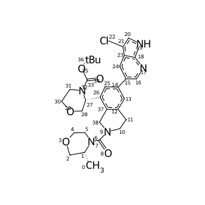 C[C@@H]1COCCN1C(=O)N1CCc2cc(-c3cnc4[nH]cc(Cl)c4c3)cc([C@@H]3COCCN3C(=O)OC(C)(C)C)c2C1